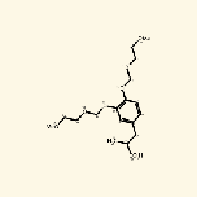 COCCOCOc1ccc(CC(C)C(=O)O)cc1OCOCCOC